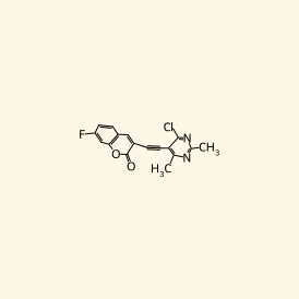 Cc1nc(C)c(C#Cc2cc3ccc(F)cc3oc2=O)c(Cl)n1